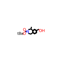 CC1CN(C(=O)OC(C)(C)C)CCc2ccc(CO)cc21